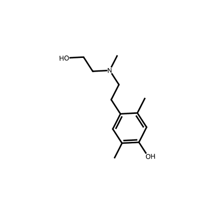 Cc1cc(CCN(C)CCO)c(C)cc1O